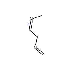 C=NC/C=N\C